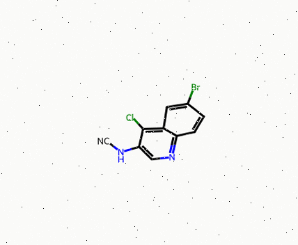 N#CNc1cnc2ccc(Br)cc2c1Cl